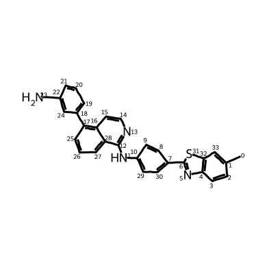 Cc1ccc2nc(-c3ccc(Nc4nccc5c(-c6cccc(N)c6)cccc45)cc3)sc2c1